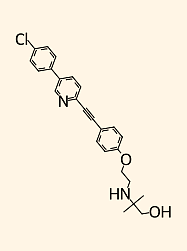 CC(C)(CO)NCCOc1ccc(C#Cc2ccc(-c3ccc(Cl)cc3)cn2)cc1